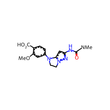 CNC(=O)Nc1cc2n(n1)CCN2c1ccc(C(=O)O)c(OC)c1